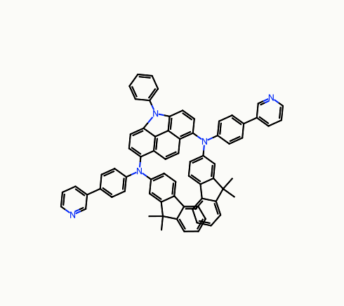 CC1(C)c2ccccc2-c2ccc(N(c3ccc(-c4cccnc4)cc3)c3ccc4c5c3ccc3c(N(c6ccc(-c7cccnc7)cc6)c6ccc7c(c6)C(C)(C)c6ccccc6-7)ccc(c35)n4-c3ccccc3)cc21